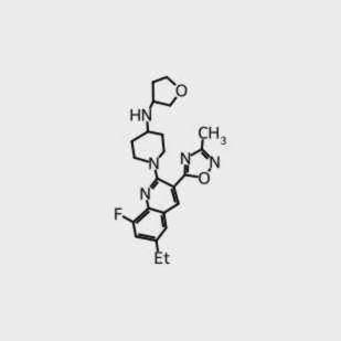 CCc1cc(F)c2nc(N3CCC(NC4CCOC4)CC3)c(-c3nc(C)no3)cc2c1